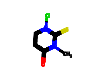 Cn1c(=O)ccn(Cl)c1=S